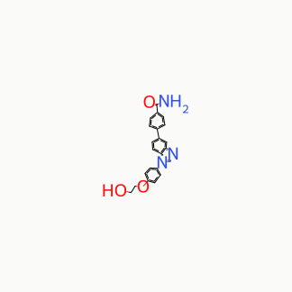 NC(=O)c1ccc(-c2ccc3c(c2)ncn3-c2ccc(OCCO)cc2)cc1